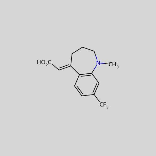 CN1CCCC(=CC(=O)O)c2ccc(C(F)(F)F)cc21